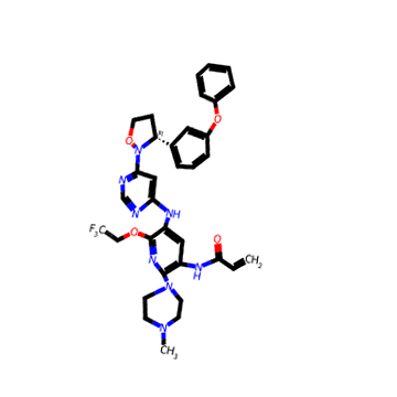 C=CC(=O)Nc1cc(Nc2cc(N3OCC[C@@H]3c3cccc(Oc4ccccc4)c3)ncn2)c(OCC(F)(F)F)nc1N1CCN(C)CC1